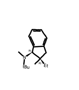 CC[C@]1(C)Cc2ccccc2[C@@H]1N(C)C(C)(C)C